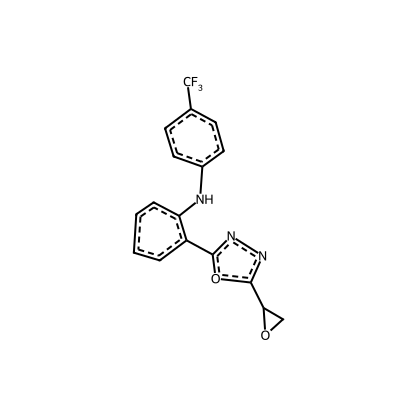 FC(F)(F)c1ccc(Nc2ccccc2-c2nnc(C3CO3)o2)cc1